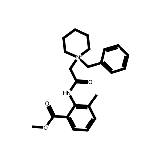 COC(=O)c1cccc(C)c1NC(=O)C[N+]1(Cc2ccccc2)CCCCC1